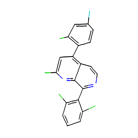 Fc1ccc(-c2cc(Cl)nc3c(-c4c(Cl)cccc4Cl)nccc23)c(Cl)c1